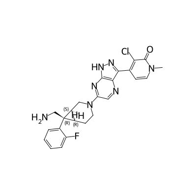 Cn1ccc(-c2n[nH]c3nc(N4CC[C@@H]5[C@H](C4)[C@@]5(CN)c4ccccc4F)cnc23)c(Cl)c1=O